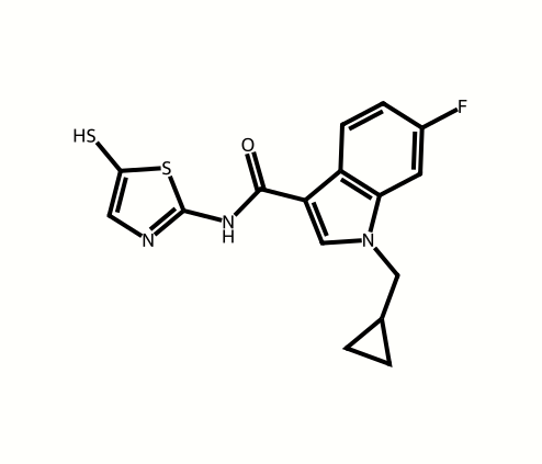 O=C(Nc1ncc(S)s1)c1cn(CC2CC2)c2cc(F)ccc12